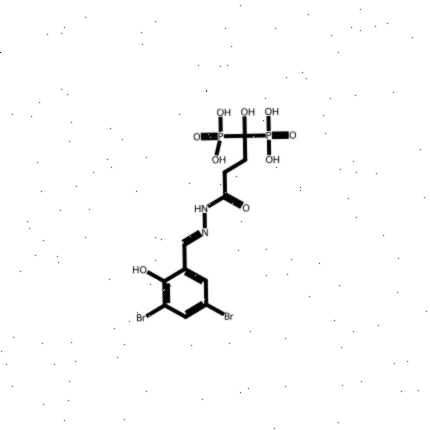 O=C(CCC(O)(P(=O)(O)O)P(=O)(O)O)N/N=C/c1cc(Br)cc(Br)c1O